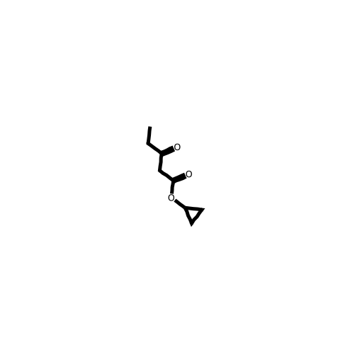 CCC(=O)CC(=O)OC1CC1